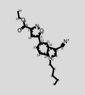 CCCCCn1cc(C#N)c2cc(-c3cc(C(=O)OCC)no3)ccc21